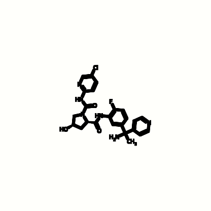 CC(N)(c1ccncc1)c1ccc(F)c(NC(=O)[C@H]2C[C@@H](O)CN2C(=O)Nc2ccc(Cl)cn2)c1